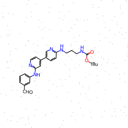 CC(C)(C)OC(=O)NCCCNc1ccc(-c2ccnc(Nc3cccc(C=O)c3)c2)cn1